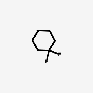 FC1(F)CC[C]CC1